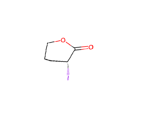 O=C1OCC[C@H]1I